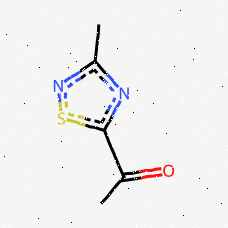 CC(=O)c1nc(C)ns1